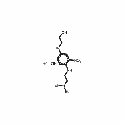 CCN(CC)CCNc1ccc(NCCO)cc1[N+](=O)[O-].Cl.Cl